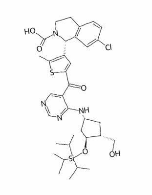 Cc1sc(C(=O)c2cncnc2N[C@@H]2C[C@H](CO)[C@@H](O[Si](C(C)C)(C(C)C)C(C)C)C2)cc1[C@H]1c2cc(Cl)ccc2CCN1C(=O)O